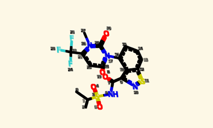 CC(C)S(=O)(=O)NC(=O)c1nsc2cccc(-n3c(=O)cc(C(F)(F)F)n(C)c3=O)c12